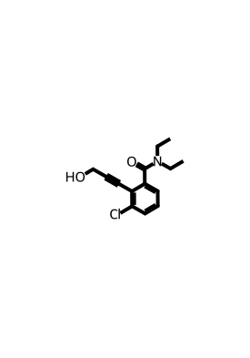 CCN(CC)C(=O)c1cccc(Cl)c1C#CCO